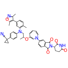 Cc1ccc(-c2c(C)noc2C)cc1N(CC(C)OC1=CN(c2ccc3c(c2)C(=O)N(C2CCC(=O)NC2=O)C3=O)C=CC=C1)c1ccc(C2(C#N)CC2)cc1